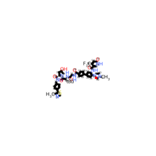 Cc1ncsc1-c1ccc(CNC(=O)[C@@H]2C[C@@H](O)CN2C(=O)[C@@H](NC(=O)CNC(=O)c2ccc(-c3ccc(N4CCN(C)CC4)c(NC(=O)c4c[nH]c(=O)cc4C(F)(F)F)c3)cc2)C(C)(C)C)cc1